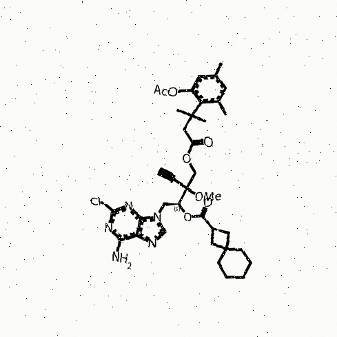 C#CC(COC(=O)CC(C)(C)c1c(C)cc(C)cc1OC(C)=O)(OC)[C@H](Cn1cnc2c(N)nc(Cl)nc21)OC(=O)C1CC2(CCCCC2)C1